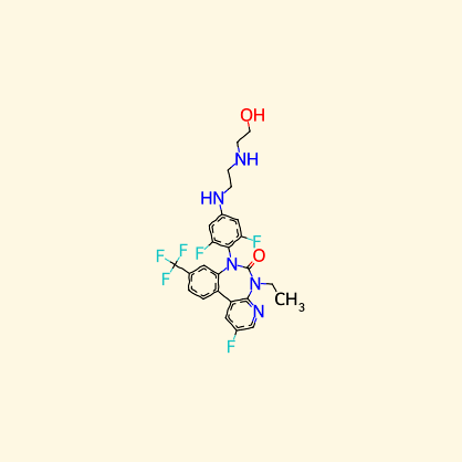 CCN1C(=O)N(c2c(F)cc(NCCNCCO)cc2F)c2cc(C(F)(F)F)ccc2-c2cc(F)cnc21